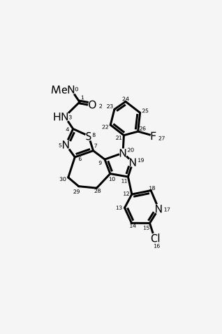 CNC(=O)Nc1nc2c(s1)-c1c(c(-c3ccc(Cl)nc3)nn1-c1ccccc1F)CCC2